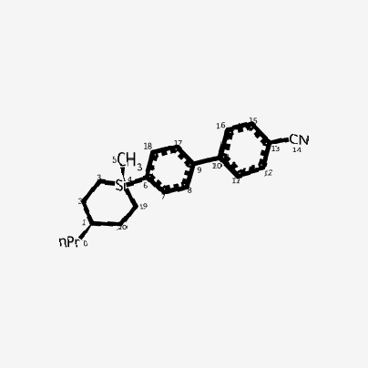 CCC[C@H]1CC[Si@](C)(c2ccc(-c3ccc(C#N)cc3)cc2)CC1